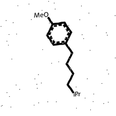 COc1ccc(CCCCC(C)C)cc1